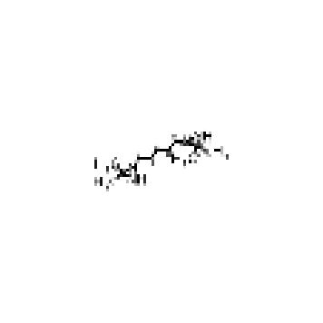 CC1(C)NN1CCCCCN1NC1(C)C